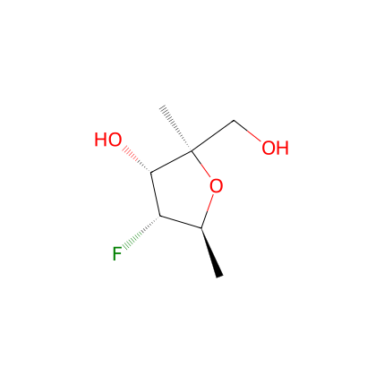 C[C@@H]1O[C@](C)(CO)[C@@H](O)[C@H]1F